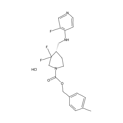 Cc1ccc(COC(=O)N2CC[C@@H](CNc3ccncc3F)C(F)(F)C2)cc1.Cl